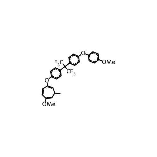 COC1=CC(C)C=C(Oc2ccc(C(c3ccc(Oc4ccc(OC)cc4)cc3)(C(F)(F)F)C(F)(F)F)cc2)C=C1